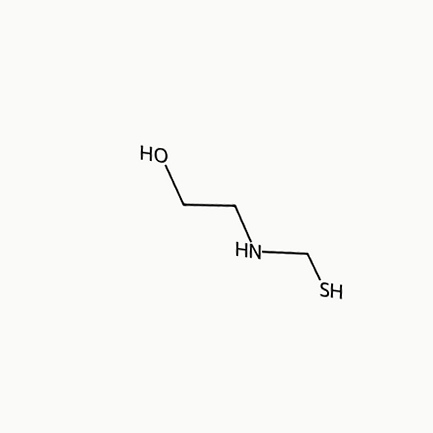 OCCNCS